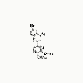 COc1ncc(C2CC(=O)c3cc(Br)ccc3S2)nc1OC